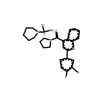 CCC(N)([C@H]1CCCN1C(=O)c1cc(-c2ccc(F)c(F)c2)nc2ccccc12)N1CCCCC1